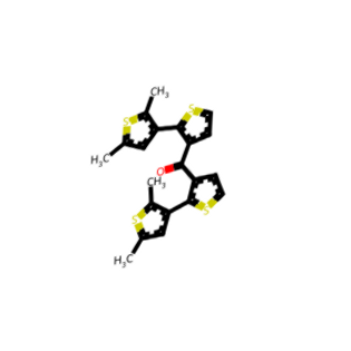 Cc1cc(-c2sccc2C(=O)c2ccsc2-c2cc(C)sc2C)c(C)s1